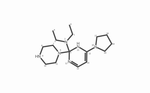 CCN(CC)C1(N2CCNCC2)N=CC=C(N2CCCC2)N1